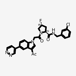 CC(=O)c1cn(CC(=O)N2C[C@H](F)C[C@H]2C(=O)NCc2cccc(Cl)c2)c2ccc(-c3ccnnc3)cc12